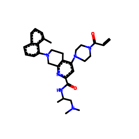 C=CC(=O)N1CCN(c2cc(C(=O)NC(C)CN(C)C)nc3c2CCN(c2cccc4cccc(C)c24)C3)CC1